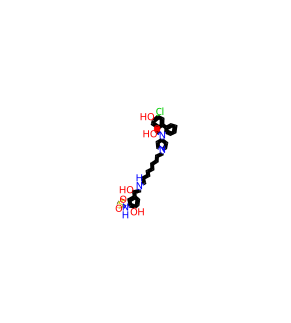 CS(=O)(=O)Nc1cc([C@H](O)CNCCCCCCCCCN2CCC(N(C(=O)O)c3ccccc3-c3ccc(O)c(Cl)c3)CC2)ccc1O